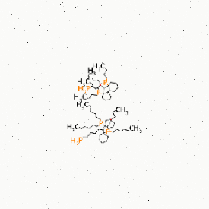 CCCCCCP(CCCCCC)C1(C(CCCCCP)C2(P(CCCCCC)CCCCCC)CCCCC2)CCCCC1.CCCCP(CCCC)C1(C(CCCP)C2(P(CCCC)CCCC)CCCCC2)CCCCC1